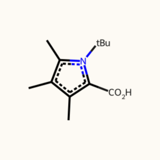 Cc1c(C)c(C(=O)O)n(C(C)(C)C)c1C